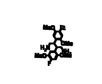 CCc1cc(OC)c(C(CN)C(CN)c2cc(OC)c(F)cc2OC)cc1OC